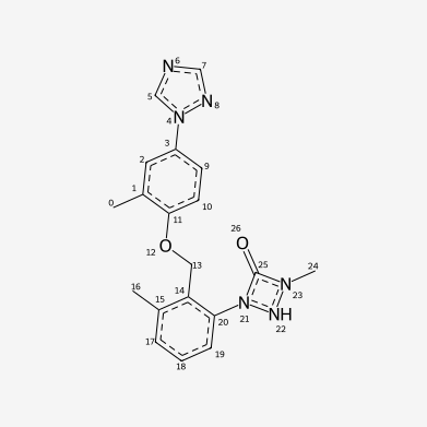 Cc1cc(-n2cncn2)ccc1OCc1c(C)cccc1-n1[nH]n(C)c1=O